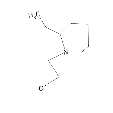 CCC1CCCCN1CC[O]